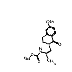 CNc1ccc2c(c1)CCN(C[C@@H](C)NC(=O)OC(C)(C)C)C2=O